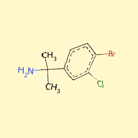 CC(C)(N)c1ccc(Br)c(Cl)c1